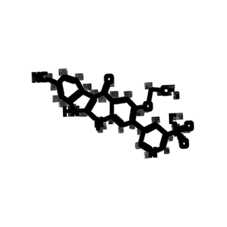 Cn1c2cc(-c3cncc(S(=O)(=O)F)c3)c(OCC(F)(F)F)cc2c(=O)c2c3ccc(C#N)cc3[nH]c21